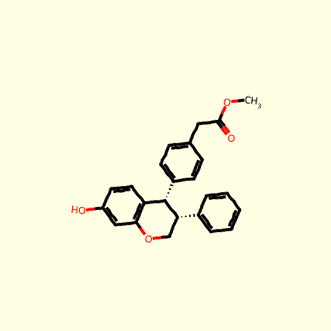 COC(=O)Cc1ccc([C@H]2c3ccc(O)cc3OC[C@H]2c2ccccc2)cc1